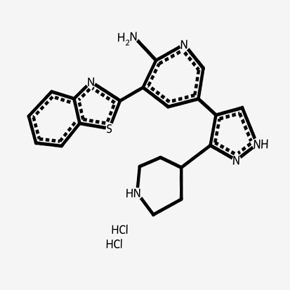 Cl.Cl.Nc1ncc(-c2c[nH]nc2C2CCNCC2)cc1-c1nc2ccccc2s1